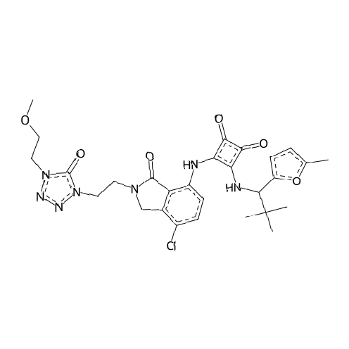 COCCn1nnn(CCN2Cc3c(Cl)ccc(Nc4c(NC(c5ccc(C)o5)C(C)(C)C)c(=O)c4=O)c3C2=O)c1=O